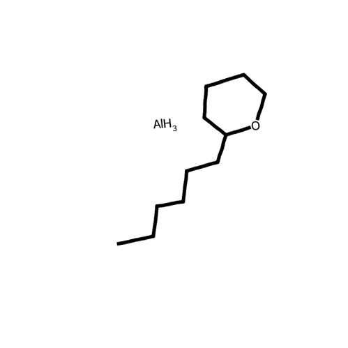 CCCCCCC1CCCCO1.[AlH3]